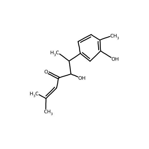 CC(C)=CC(=O)C(O)C(C)c1ccc(C)c(O)c1